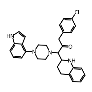 O=C(Cc1ccc(Cl)cc1)C(C1CCc2ccccc2N1)N1CCN(c2cccc3[nH]ccc23)CC1